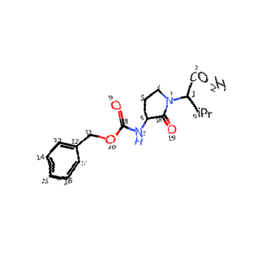 CC(C)C(C(=O)O)N1CCC(NC(=O)OCc2ccccc2)C1=O